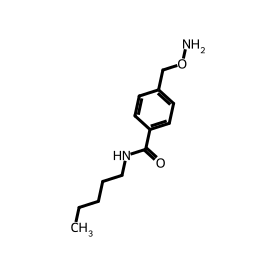 CCCCCNC(=O)c1ccc(CON)cc1